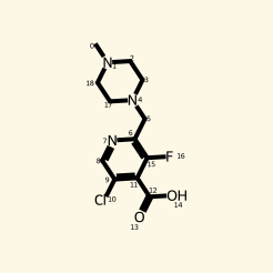 CN1CCN(Cc2ncc(Cl)c(C(=O)O)c2F)CC1